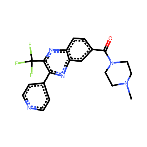 CN1CCN(C(=O)c2ccc3nc(C(F)(F)F)c(-c4ccncc4)nc3c2)CC1